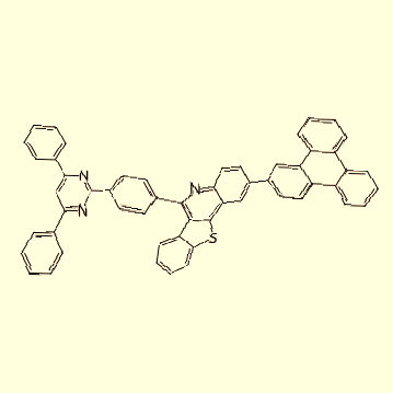 c1ccc(-c2cc(-c3ccccc3)nc(-c3ccc(-c4nc5ccc(-c6ccc7c8ccccc8c8ccccc8c7c6)cc5c5sc6ccccc6c45)cc3)n2)cc1